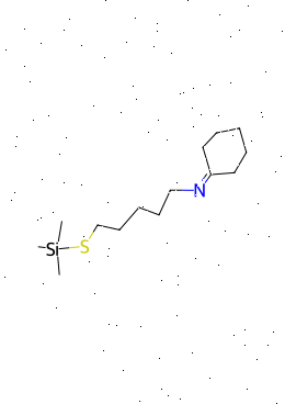 C[Si](C)(C)SCCCCCN=C1CCCCC1